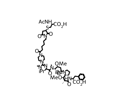 CC[C@H](C)[C@@H]([C@@H](CC(=O)N1CCC[C@H]1[C@H](OC)[C@@H](C)C(=O)N[C@@H](Cc1ccccc1)C(=O)O)OC)N(C)C(=O)C(/N=C(\N(C)C)N1CCN(C(=O)CCCCCN2C(=O)CC(SC[C@H](NC(C)=O)C(=O)O)C2=O)CC1)C(C)C